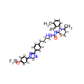 Cc1cccc(N2/C(=N/C(=O)NCCCCc3ccc(-c4ncn(-c5ccc(OC(F)(F)F)cc5)n4)cc3)SCCC2C)c1C(C)C